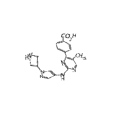 Cc1cnc(Nc2cnn(C3CNC3)c2)nc1-c1ccc(C(=O)O)cc1